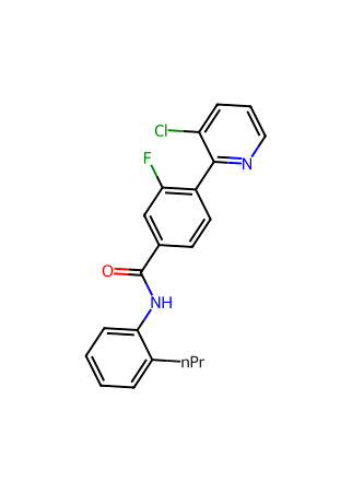 CCCc1ccccc1NC(=O)c1ccc(-c2ncccc2Cl)c(F)c1